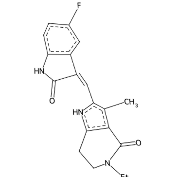 CCN1CCc2[nH]c(/C=C3\C(=O)Nc4ccc(F)cc43)c(C)c2C1=O